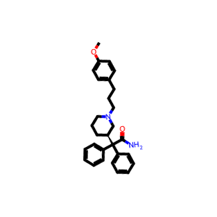 COc1ccc(CCCN2CCC[C@H](C(C(N)=O)(c3ccccc3)c3ccccc3)C2)cc1